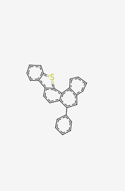 c1ccc(-c2cc3ccccc3c3c2ccc2c4ccccc4sc23)cc1